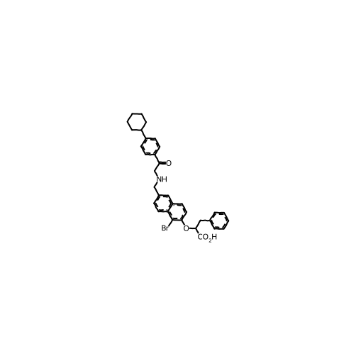 O=C(CNCc1ccc2c(Br)c(OC(Cc3ccccc3)C(=O)O)ccc2c1)c1ccc(C2CCCCC2)cc1